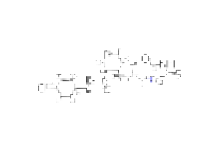 O=C1NC(=S)S/C1=C/c1cc2cncc(C(=O)NCc3ccc(Cl)cc3)c2o1